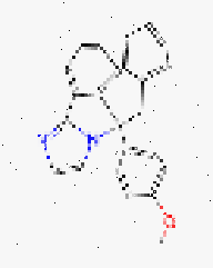 COc1ccc(C2(Cc3ccccc3)c3ccccc3-c3nccn32)cc1